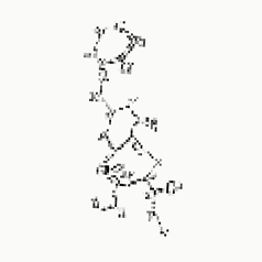 CCC(=O)C(CC1CCC(Cc2ccccc2)CC1)C(=O)CC